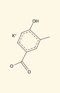 Cc1cc(C(=O)[O-])ccc1O.[K+]